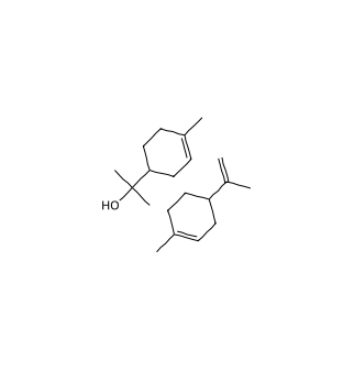 C=C(C)C1CC=C(C)CC1.CC1=CCC(C(C)(C)O)CC1